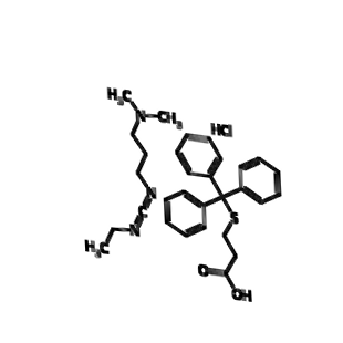 CCN=C=NCCCN(C)C.Cl.O=C(O)CCSC(c1ccccc1)(c1ccccc1)c1ccccc1